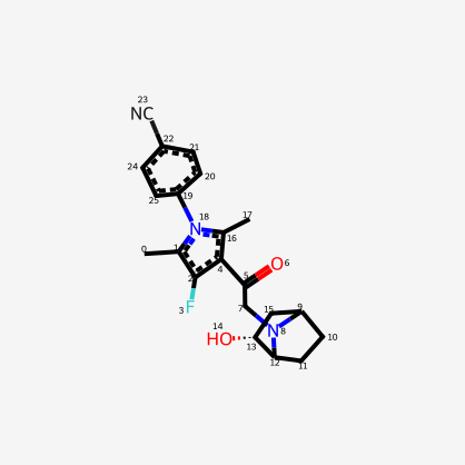 Cc1c(F)c(C(=O)CN2C3CCC2[C@H](O)C3)c(C)n1-c1ccc(C#N)cc1